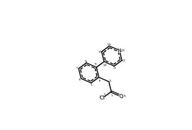 O=C(Cl)Cc1ccccc1-c1ccncc1